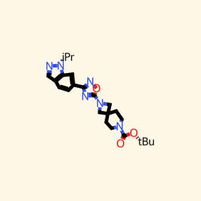 CC(C)n1ncc2ccc(-c3noc(N4CC5(CCN(C(=O)OC(C)(C)C)CC5)C4)n3)cc21